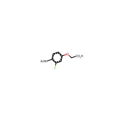 CC(=O)Nc1ccc(OCC(=O)O)cc1F